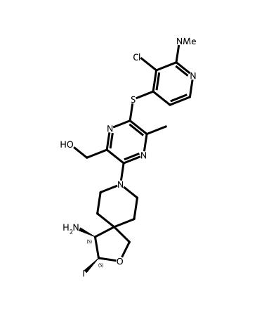 CNc1nccc(Sc2nc(CO)c(N3CCC4(CC3)CO[C@@H](I)[C@H]4N)nc2C)c1Cl